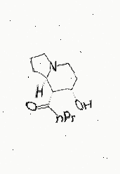 CCCC(=O)[C@@H]1[C@H]2CCCN2CC[C@@H]1O